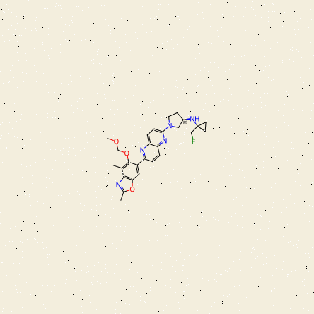 COCOc1c(-c2ccc3nc(N4CC[C@@H](NC5(CF)CC5)C4)ccc3n2)cc2oc(C)nc2c1C